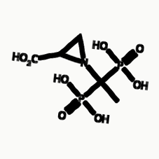 CC(N1CC1C(=O)O)(P(=O)(O)O)P(=O)(O)O